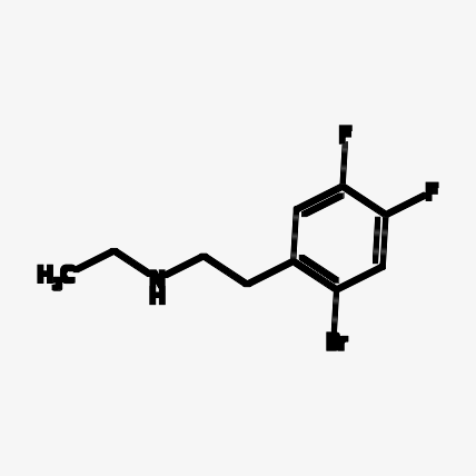 CCNCCc1cc(F)c(F)cc1Br